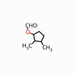 CC1CCC(O[C]=O)C1C